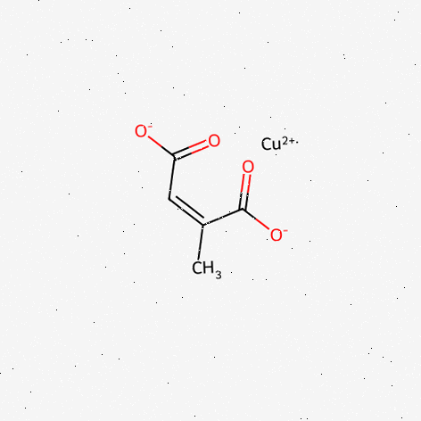 C/C(=C/C(=O)[O-])C(=O)[O-].[Cu+2]